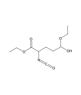 CCOC(=O)C(CCC(O)OCC)N=C=O